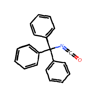 O=C=NC(c1ccccc1)(c1ccccc1)c1ccccc1